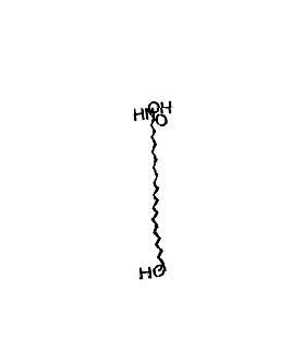 O=C(CCCCCCCCCCCCCCCCCCCCCCO)NO